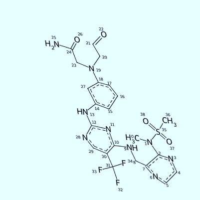 CN(c1nccnc1CNc1nc(Nc2cccc(N(CC=O)CC(N)=O)c2)ncc1C(F)(F)F)S(C)(=O)=O